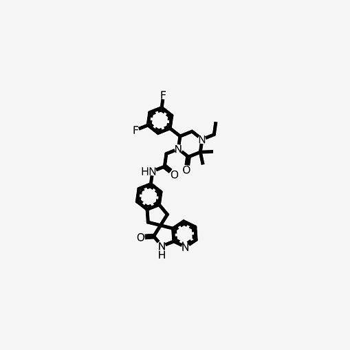 CCN1CC(c2cc(F)cc(F)c2)N(CC(=O)Nc2ccc3c(c2)CC2(C3)C(=O)Nc3ncccc32)C(=O)C1(C)C